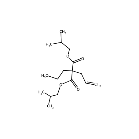 C=CCC(CCC)(C(=O)OCC(C)C)C(=O)OCC(C)C